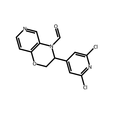 O=CN1c2cnccc2OCC1c1cc(Cl)nc(Cl)c1